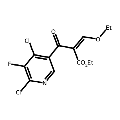 CCO/C=C(\C(=O)OCC)C(=O)c1cnc(Cl)c(F)c1Cl